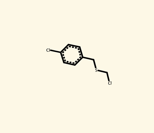 ClCSCc1ccc(Cl)cc1